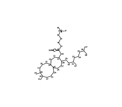 C=C=C(CCCCN(C)C)CC1CCC2CCCC(C)C(C)CCCC2CCC1CCC(C)CCCC(C)C